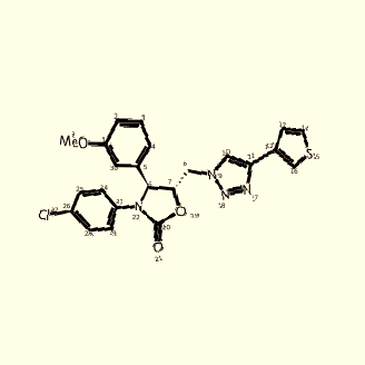 COc1cccc([C@H]2[C@H](Cn3cc(-c4ccsc4)nn3)OC(=O)N2c2ccc(Cl)cc2)c1